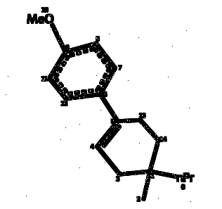 CCCC1(C)CC=C(c2ccc(OC)cc2)CC1